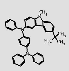 Cn1c2ccc(N(c3ccccc3)c3ccc(N(c4ccccc4)c4ccccc4)cc3)cc2c2cc(C(C)(C)C)ccc21